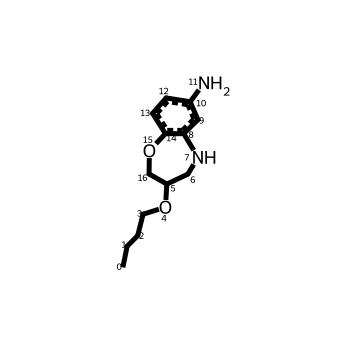 CCCCOC1CNc2cc(N)ccc2OC1